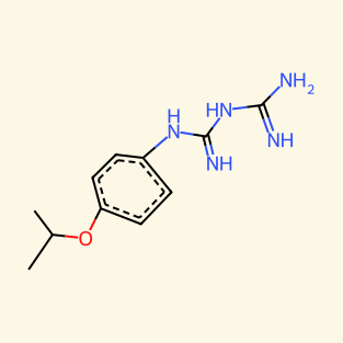 CC(C)Oc1ccc(NC(=N)NC(=N)N)cc1